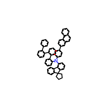 c1ccc(-c2ccccc2-c2ccccc2-c2ccccc2N(c2ccc(-c3ccc4c(ccc5ccccc54)c3)cc2)c2cccc3c2-c2ccccc2C32CCCC2)cc1